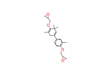 CC1=C(OCC2CO2)C(C)(C)C=C(c2ccc(OCC3CO3)c(C)c2)C1